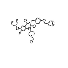 O=CN1CCC(n2c(=O)n(Cc3ccc(OCc4ccccc4)cc3)c(=O)c3cc(OC(CF)CF)c(F)cc32)CC1